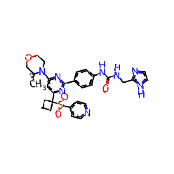 C[C@H]1COCCN1c1cc(C2(S(=O)(=O)c3ccncc3)CCC2)nc(-c2ccc(NC(=O)NCc3ncc[nH]3)cc2)n1